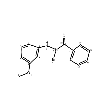 COc1cccc(NN(Br)C(=O)c2ccccc2)c1